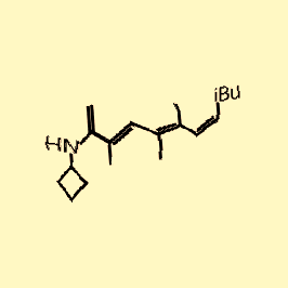 C=C(NC1CCC1)/C(C)=C/C(C)=C(C)/C=C\C(C)CC